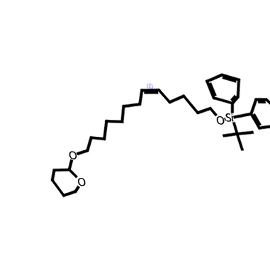 CC(C)(C)[Si](OCCCC/C=C\CCCCCCCOC1CCCCO1)(c1ccccc1)c1ccccc1